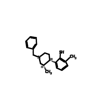 Cc1cccc([C@H]2CCN(Cc3ccccc3)C[C@H]2C)c1S